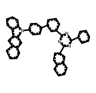 c1ccc(-c2nc(-c3cccc(-c4ccc(-n5c6ccccc6c6cc7ccccc7cc65)cc4)c3)nc(-c3ccc4ccccc4c3)n2)cc1